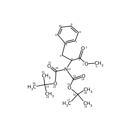 COC(=O)C(Cc1ccccc1)N(C(=O)OC(C)(C)C)C(=O)OC(C)(C)C